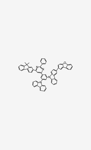 CC1(C)c2ccccc2-c2ccc(-c3cc(-c4cc(-n5c6ccccc6c6ccccc65)cc(-n5c6ccccc6c6cc(-c7ccc8oc9ccccc9c8c7)ccc65)c4)nc(-c4ccccc4)n3)cc21